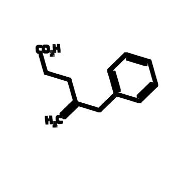 C=C(CCC(=O)O)Cc1ccccc1